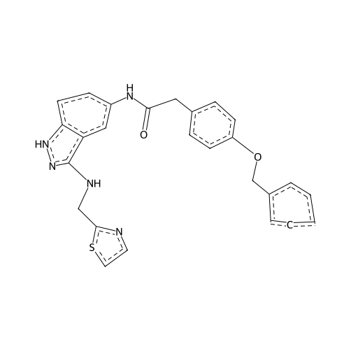 O=C(Cc1ccc(OCc2ccccc2)cc1)Nc1ccc2[nH]nc(NCc3nccs3)c2c1